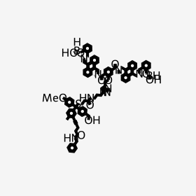 COc1ccc(C(SCCC(=O)NCCCn2cc(COc3cc(C(=O)N(C)Cc4c5ccccc5c(CN(C)Cc5ccccc5OBO)c5ccccc45)ccc3C(=O)N(C)Cc3c4ccccc4c(CN(C)Cc4ccccc4OBO)c4ccccc34)nn2)(c2ccc(CO)cc2)c2ccc(C)c(C#CCCC(=O)NCc3ccccc3)c2)cc1